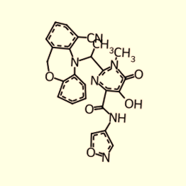 CC(c1nc(C(=O)Nc2cnoc2)c(O)c(=O)n1C)N1c2ccccc2OCc2cccc(C#N)c21